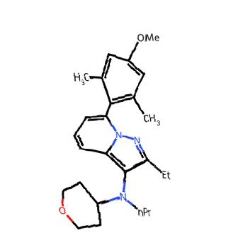 CCCN(c1c(CC)nn2c(-c3c(C)cc(OC)cc3C)cccc12)C1CCOCC1